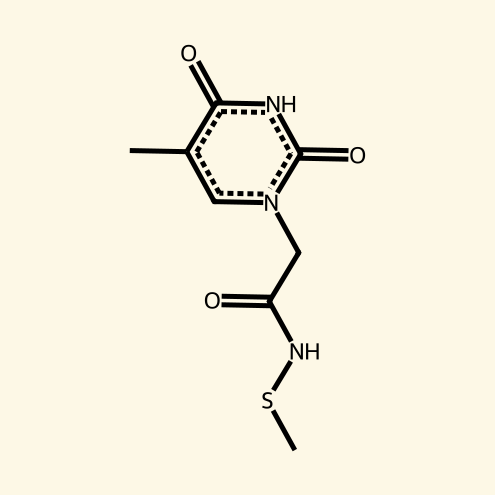 CSNC(=O)Cn1cc(C)c(=O)[nH]c1=O